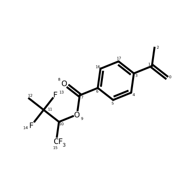 C=C(C)c1ccc(C(=O)OC(C(C)(F)F)C(F)(F)F)cc1